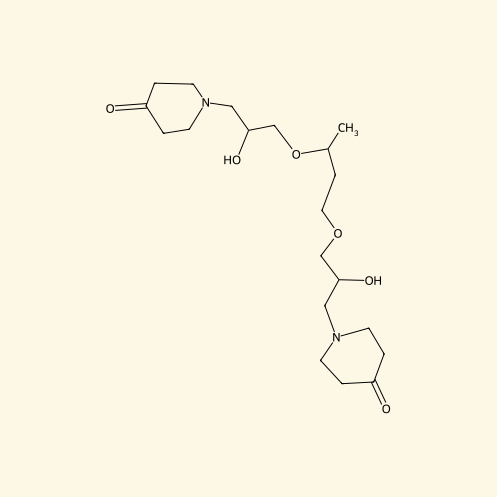 CC(CCOCC(O)CN1CCC(=O)CC1)OCC(O)CN1CCC(=O)CC1